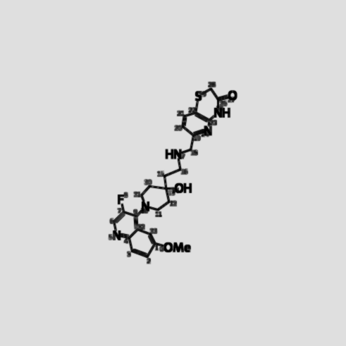 COc1ccc2ncc(F)c(N3CCC(O)(CCNCc4ccc5c(n4)NC(=O)CS5)CC3)c2c1